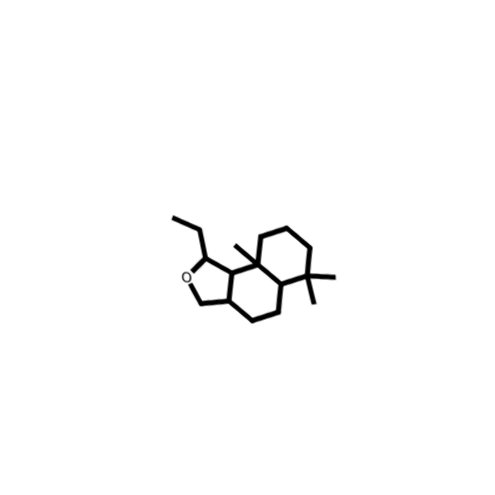 CCC1OCC2CCC3C(C)(C)CCCC3(C)C21